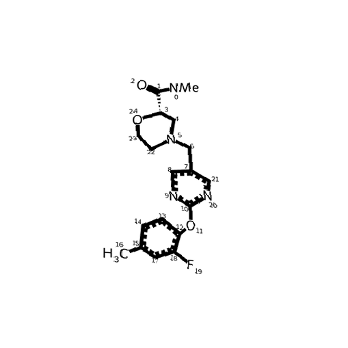 CNC(=O)[C@@H]1CN(Cc2cnc(Oc3ccc(C)cc3F)nc2)CCO1